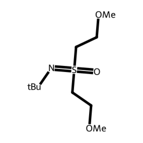 COCCS(=O)(CCOC)=NC(C)(C)C